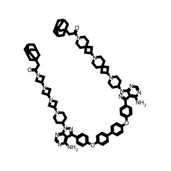 Nc1ncnc2c1c(-c1ccc(Oc3ccc(-c4ccc(Oc5ccc(-c6nn(C7CCN(C8CC9(CCN(C%10CC%11(CCN(C(=O)CC%12%13CC%14CC(CC(C%14)C%12)C%13)CC%11)C%10)CC9)C8)CC7)c7ncnc(N)c67)cc5)cc4)cc3)cc1)nn2C1CCN(C2CN(C3CN(C4CN(C(=O)CC56CC7CC(CC(C7)C5)C6)C4)C3)C2)CC1